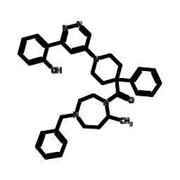 CC1CCN(Cc2ccccc2)CCN1C(=O)C1(c2ccccc2)CCN(c2cnnc(-c3ccccc3O)c2)CC1